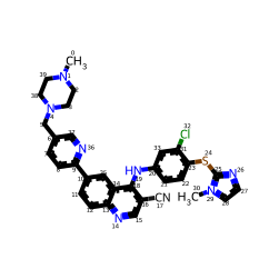 CN1CCN(Cc2ccc(-c3ccc4ncc(C#N)c(Nc5ccc(Sc6nccn6C)c(Cl)c5)c4c3)nc2)CC1